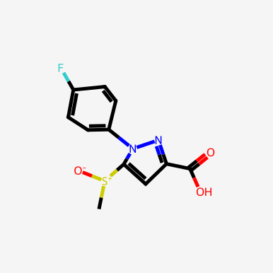 C[S+]([O-])c1cc(C(=O)O)nn1-c1ccc(F)cc1